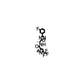 C[C@@H](NC(=O)c1cc(C(F)(F)F)nn1C)c1nc(-c2cccc(F)c2)no1